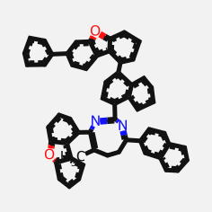 C/C1=C(c2cccc3oc4ccccc4c23)/N=C(c2ccc(-c3cccc4oc5cc(-c6ccccc6)ccc5c34)c3ccccc23)\N=C(\c2ccc3ccccc3c2)CC1